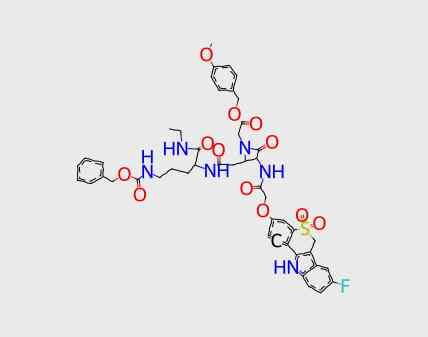 CCNC(=O)C(CCCNC(=O)OCc1ccccc1)NC(=O)CC1C(NC(=O)COc2ccc3c(c2)S(=O)(=O)Cc2c-3[nH]c3ccc(F)cc23)C(=O)N1CC(=O)OCc1ccc(OC)cc1